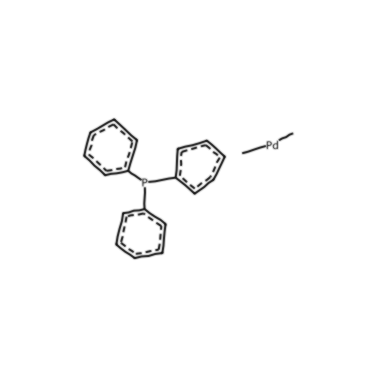 [CH3][Pd][CH3].c1ccc(P(c2ccccc2)c2ccccc2)cc1